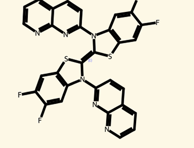 Fc1cc2c(cc1F)N(c1ccc3cccnc3n1)/C(=C1\Sc3cc(F)c(F)cc3N1c1ccc3cccnc3n1)S2